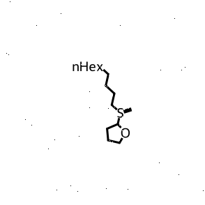 C=S(CCCCCCCCCC)C1CCCO1